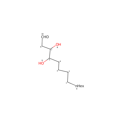 CCCCCCCCCCC(O)C(O)CC=O